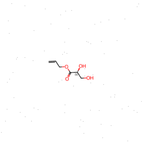 C=CCOC(=O)[C@@H](O)CO